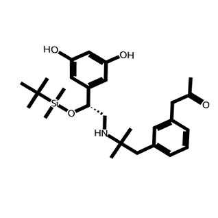 CC(=O)Cc1cccc(CC(C)(C)NC[C@H](O[Si](C)(C)C(C)(C)C)c2cc(O)cc(O)c2)c1